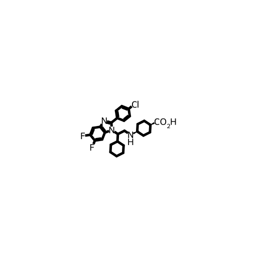 O=C(O)[C@H]1CC[C@@H](NCC(C2CCCCC2)n2c(-c3ccc(Cl)cc3)nc3cc(F)c(F)cc32)CC1